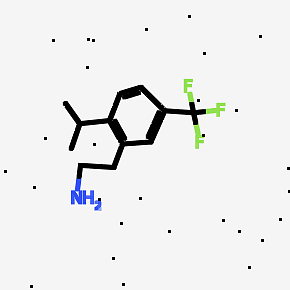 CC(C)c1ccc(C(F)(F)F)cc1CCN